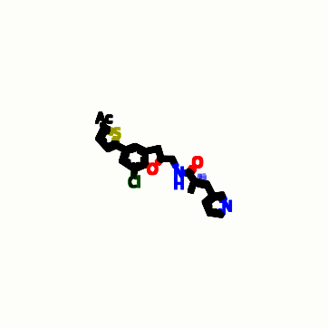 CC(=O)c1ccc(-c2cc(Cl)c3c(c2)CC(CNC(=O)/C(C)=C/c2cccnc2)O3)s1